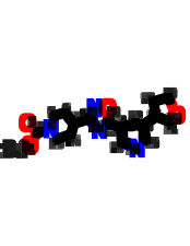 CC(C)(C)OC(=O)N1CCC(c2noc(-c3cncc(C4CCOC4)c3)n2)CC1